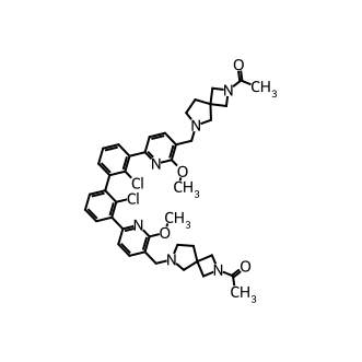 COc1nc(-c2cccc(-c3cccc(-c4ccc(CN5CCC6(C5)CN(C(C)=O)C6)c(OC)n4)c3Cl)c2Cl)ccc1CN1CCC2(C1)CN(C(C)=O)C2